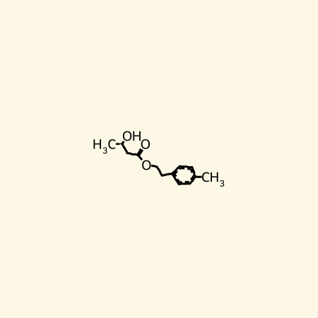 Cc1ccc(CCOC(=O)C[C@@H](C)O)cc1